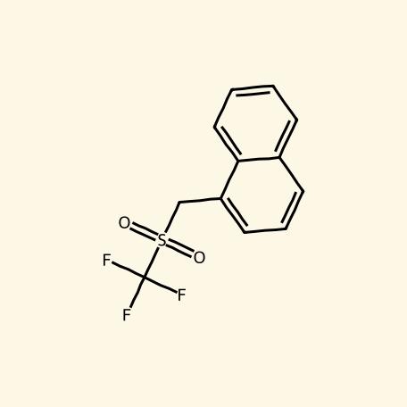 O=S(=O)(Cc1cccc2ccccc12)C(F)(F)F